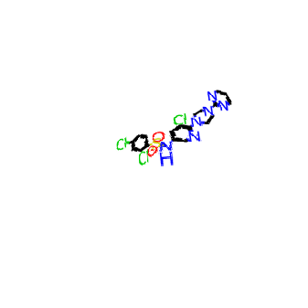 O=S(=O)(Nc1cnc(N2CCN(c3ncccn3)CC2)c(Cl)c1)c1ccc(Cl)cc1Cl